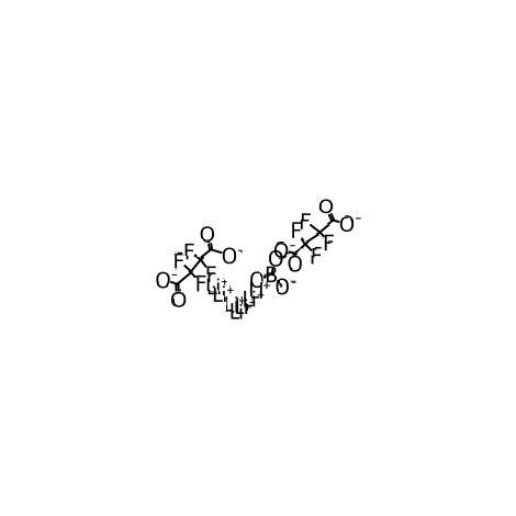 O=C([O-])C(F)(F)C(F)(F)C(=O)[O-].O=C([O-])C(F)(F)C(F)(F)C(=O)[O-].[Li+].[Li+].[Li+].[Li+].[Li+].[Li+].[Li+].[O-]B([O-])[O-]